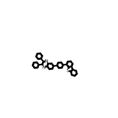 c1ccc(-c2nc3ccc(-c4ccc(-c5cccc6c5sc5ccccc56)cc4)cc3nc2-c2ccccc2)cc1